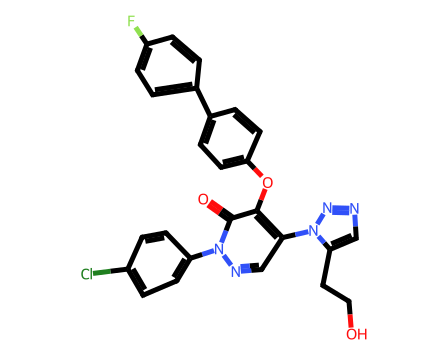 O=c1c(Oc2ccc(-c3ccc(F)cc3)cc2)c(-n2nncc2CCO)cnn1-c1ccc(Cl)cc1